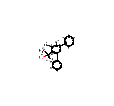 CCc1c(C(C)C)c(-c2ccccc2)cc(-c2ccccc2)c1C(C)(C)O